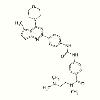 CN(C)CCN(C)C(=O)c1ccc(NC(=O)Nc2ccc(-c3nc(N4CCOCC4)c4c(ccn4C)n3)cc2)cc1